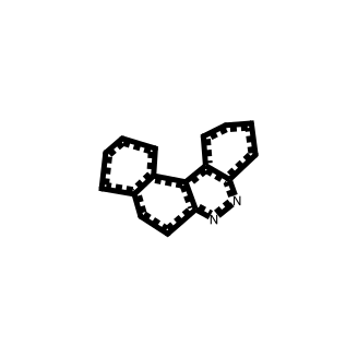 c1ccc2c(c1)ccc1nnc3ccccc3c12